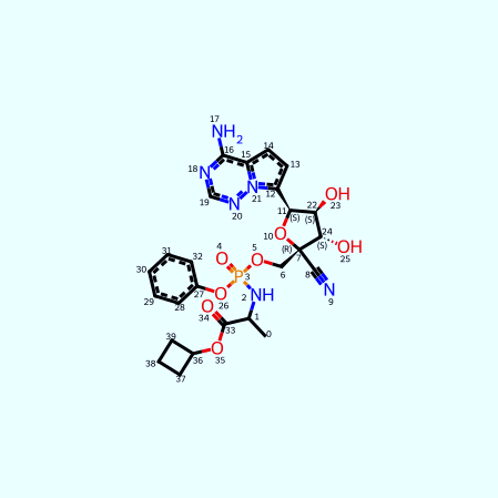 CC(NP(=O)(OC[C@@]1(C#N)O[C@@H](c2ccc3c(N)ncnn23)[C@@H](O)[C@@H]1O)Oc1ccccc1)C(=O)OC1CCC1